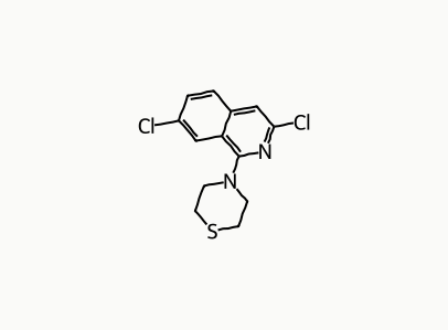 Clc1ccc2cc(Cl)nc(N3CCSCC3)c2c1